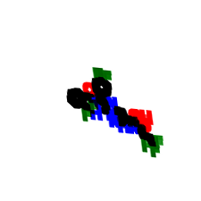 O=C(CCC(F)(F)F)N[C@H](O)c1cnn2cc([C@@H](NC(=O)c3ccccc3C(F)F)C3CCC(F)(F)CC3)nc2c1